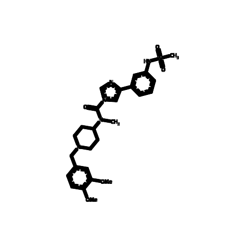 COc1ccc(CN2CCC(N(C)C(=O)n3cnc(-c4cccc(NS(C)(=O)=O)c4)c3)CC2)cc1OC